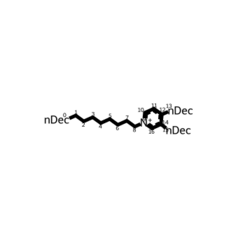 CCCCCCCCCCCCCCCCCC[n+]1ccc(CCCCCCCCCC)c(CCCCCCCCCC)c1